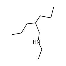 CCCC(CCC)CNCC